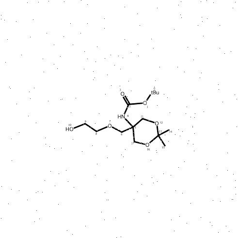 CC(C)(C)OC(=O)NC1(COCCO)COC(C)(C)OC1